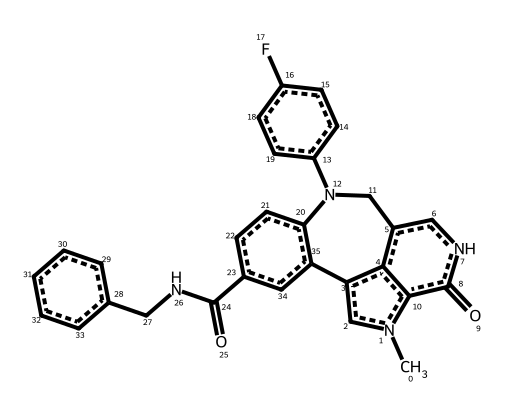 Cn1cc2c3c(c[nH]c(=O)c31)CN(c1ccc(F)cc1)c1ccc(C(=O)NCc3ccccc3)cc1-2